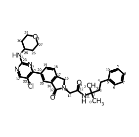 CC(C)(CCc1ccccc1)NC(=O)CN1Cc2ccc(-c3nc(NC4CCOCC4)ncc3Cl)cc2C1=O